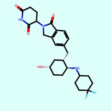 O=C1CCC(N2Cc3cc(C[C@H]4C[C@@H](O)CC[C@@H]4NC4CCC(F)(F)CC4)ccc3C2=O)C(=O)N1